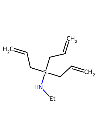 C=CC[Si](CC=C)(CC=C)NCC